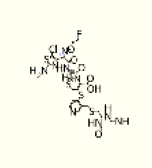 N=CNC(CSCc1cnccc1SC1=C(C(=O)O)N2C(=O)[C@@H](NC(=O)/C(=N\OCCF)c3nc(N)sc3Cl)[C@@H]2SC1)NC=O